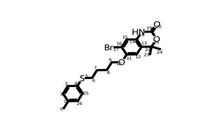 Cc1ccc(SCCCCOc2cc3c(cc2Br)NC(=O)OC3(C)C)cc1